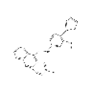 COc1cc(NCc2c3ccccc3nc3ccc(C)cc23)ccc1-c1cnco1